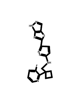 Fc1cccnc1C1(CNc2ccc(-c3nc4[nH]ncc4s3)nn2)CCC1